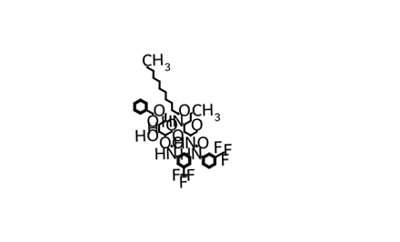 CCCCCCCCCCC(=O)N[C@H]1C(CC)OCC(NC(=O)Nc2cccc(C(F)(F)F)c2)[C@H]1O[C@H]1OC2COC(c3ccccc3)O[C@@H]2[C@H](O)C1OC(=O)Nc1cccc(C(F)(F)F)c1